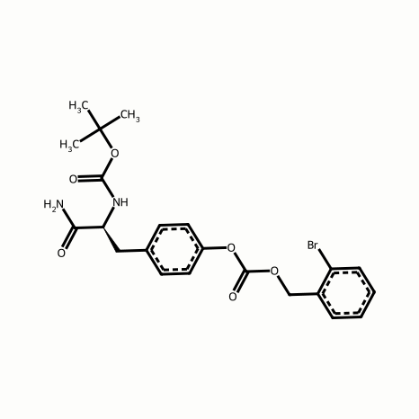 CC(C)(C)OC(=O)N[C@@H](Cc1ccc(OC(=O)OCc2ccccc2Br)cc1)C(N)=O